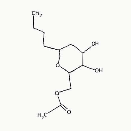 CCCCC1CC(O)C(O)C(COC(C)=O)O1